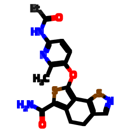 CCC(=O)Nc1ccc(Oc2sc(C(N)=O)c3c2-c2sncc2CC3)c(C)n1